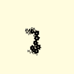 CC1(C)c2ccccc2-c2c(-n3c4ccccc4c4cc(-c5ccc6c(c5)oc5c(B7OC(C)(C)C(C)(C)O7)cccc56)ccc43)cccc21